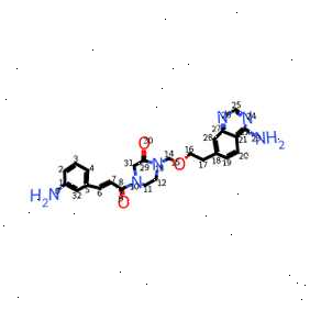 Nc1cccc(/C=C/C(=O)N2CCN(COCCc3ccc4c(N)ncnc4c3)C(=O)C2)c1